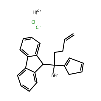 C=CCCC(CCC)(C1=CC=CC1)C1c2ccccc2-c2ccccc21.[Cl-].[Cl-].[Hf+2]